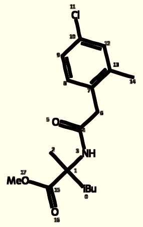 CCC(C)C(C)(NC(=O)Cc1ccc(Cl)cc1C)C(=O)OC